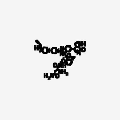 C#CCNC1(C)CCN(C2CCN(c3nc([C@@](COCNC(=O)[C@@H](N)CC(N)=O)(OC4CC4)c4ccccc4)c4cc(-c5cn(C)c(=O)c6[nH]ccc56)ccc4n3)CC2)CC1